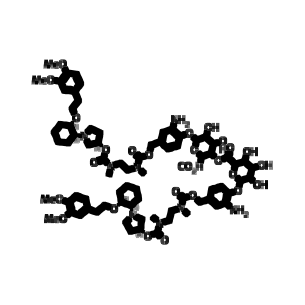 COc1ccc(CCO[C@H]2CCCC[C@@H]2N2CC[C@H](OC(=O)N(C)CCN(C)C(=O)OCc3ccc(OC4OC(C(=O)O)C(OC(=O)C5OC(Oc6ccc(COC(=O)N(C)CCN(C)C(=O)O[C@@H]7CCN([C@H]8CCCC[C@H]8OCCc8ccc(OC)c(OC)c8)C7)cc6N)C(O)C(O)C5O)C(O)C4O)c(N)c3)C2)cc1OC